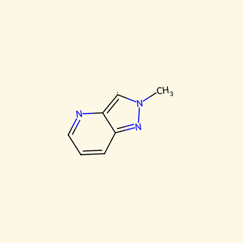 Cn1[c]c2ncccc2n1